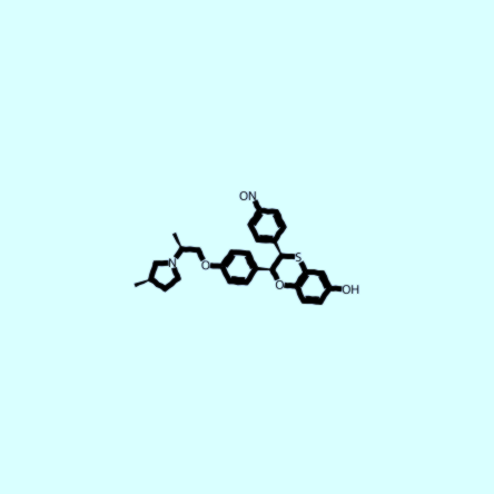 C[C@@H]1CCN([C@@H](C)COc2ccc([C@@H]3Oc4ccc(O)cc4S[C@@H]3c3ccc(N=O)cc3)cc2)C1